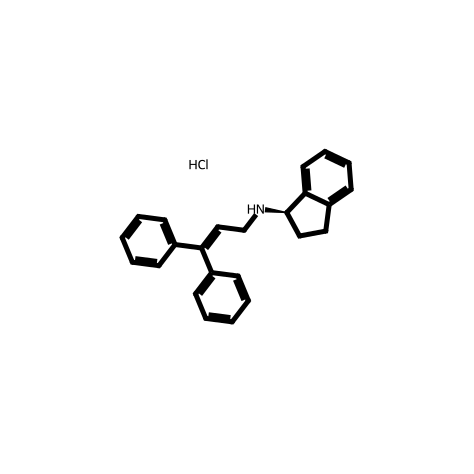 C(CN[C@@H]1CCc2ccccc21)=C(c1ccccc1)c1ccccc1.Cl